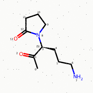 CC(=O)[C@H](CCCN)N1CCCC1=O